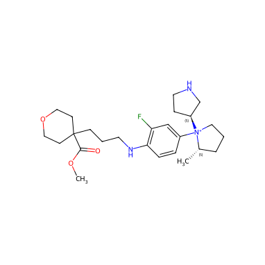 COC(=O)C1(CCCNc2ccc([N+]3([C@H]4CCNC4)CCC[C@@H]3C)cc2F)CCOCC1